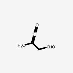 CC(=C=O)CC=O